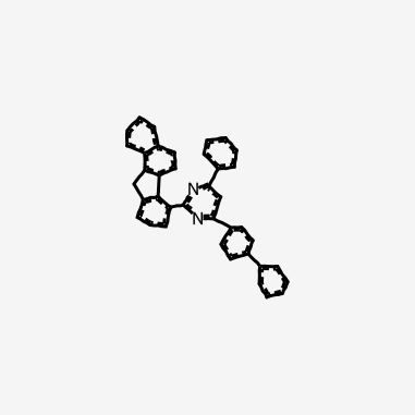 c1ccc(-c2ccc(-c3cc(-c4ccccc4)nc(-c4cccc5c4-c4ccc6ccccc6c4C5)n3)cc2)cc1